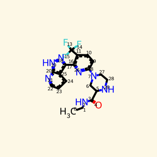 CCNC(=O)C1CN(c2ccc(C(F)(F)F)c(-c3n[nH]c4ncccc34)n2)CCN1